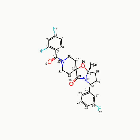 O=C(c1ccc(F)cc1F)N1CCC2(CC1)O[C@@H]1CC[C@@H](c3cccc(F)c3)N1C2=O